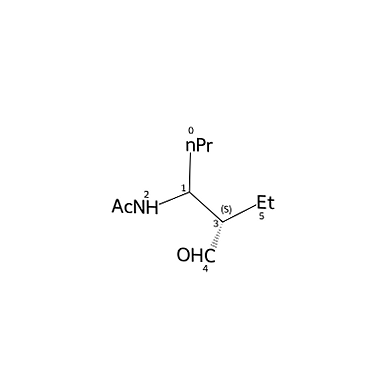 CCCC(NC(C)=O)[C@@H](C=O)CC